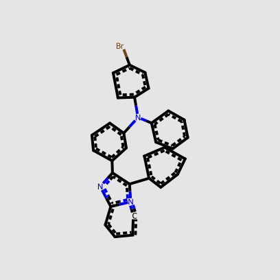 Brc1ccc(N(c2ccccc2)c2cccc(-c3nc4ccccn4c3-c3ccccc3)c2)cc1